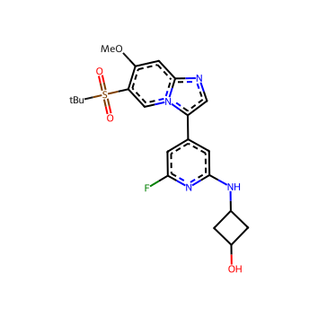 COc1cc2ncc(-c3cc(F)nc(NC4CC(O)C4)c3)n2cc1S(=O)(=O)C(C)(C)C